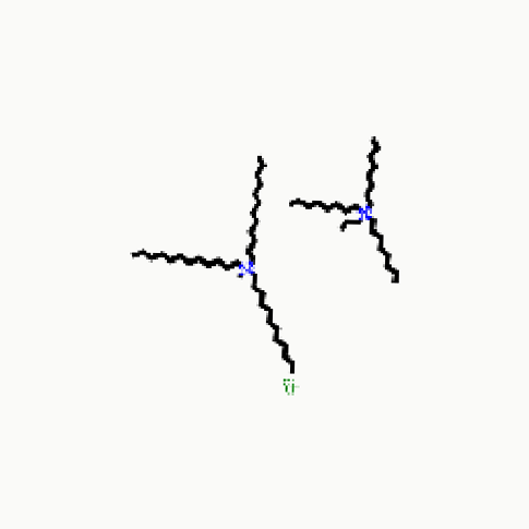 CCCCCCCCCCCC[N+](C)(CCCCCCCCCCCC)CCCCCCCCCCCC.CCCCCCCC[N+](CCC)(CCCCCCCC)CCCCCCCC.[Cl-].[Cl-]